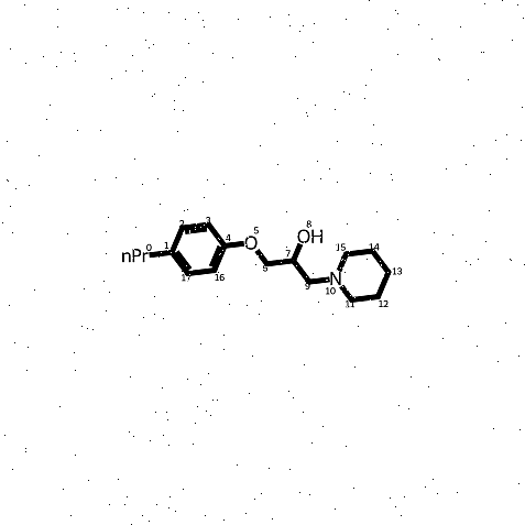 CCCc1ccc(OCC(O)CN2CCCCC2)cc1